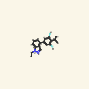 CCn1ncc2c(-c3cc(F)c(C(C)C)c(F)c3)cccc21